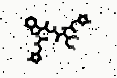 CCC(C)C(NC(=O)Cc1nn[nH]n1)C(=O)NCC(=O)N1c2ccccc2C[C@H]1C(=O)NCc1nn[nH]n1